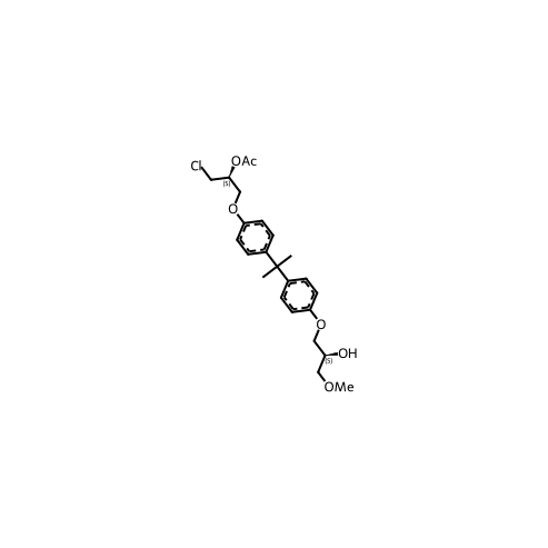 COC[C@H](O)COc1ccc(C(C)(C)c2ccc(OC[C@@H](CCl)OC(C)=O)cc2)cc1